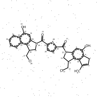 CC1=CCc2c(O)cc3c(c21)C(CCl)CN3C(=O)c1ccc(C(=O)N2CC(CCl)c3c2cc(O)c2ccccc32)s1